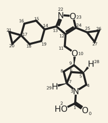 O=C(O)N1C[C@@H]2C[C@H]1C[C@H]2OCc1c(C2CCC3(CC2)CC3)noc1C1CC1